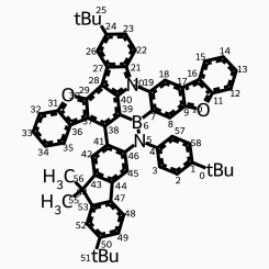 CC(C)(C)c1ccc(N2B3c4cc5oc6ccccc6c5cc4-n4c5ccc(C(C)(C)C)cc5c5c6oc7ccccc7c6c(c3c54)-c3cc4c(cc32)-c2ccc(C(C)(C)C)cc2C4(C)C)cc1